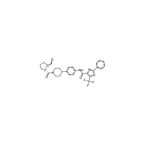 O=C[C@@H]1CCC[C@H]1C(=O)N1CCC(c2ccc(NC(=O)c3nc(-c4ccccc4)oc3C(F)(F)F)cc2)CC1